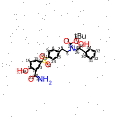 CC(C)(C)OC(=O)N(CCc1ccc(S(=O)(=O)c2ccc(O)c(C(N)=O)c2)cc1)C[C@H](O)c1ccccc1